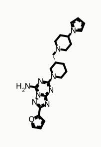 Nc1nc(N2CCC[C@@H](CN3CCC(n4cccc4)CC3)C2)nc2nc(-c3ccco3)nn12